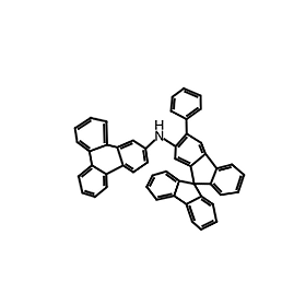 c1ccc(-c2cc3c(cc2Nc2ccc4c5ccccc5c5ccccc5c4c2)C2(c4ccccc4-c4ccccc42)c2ccccc2-3)cc1